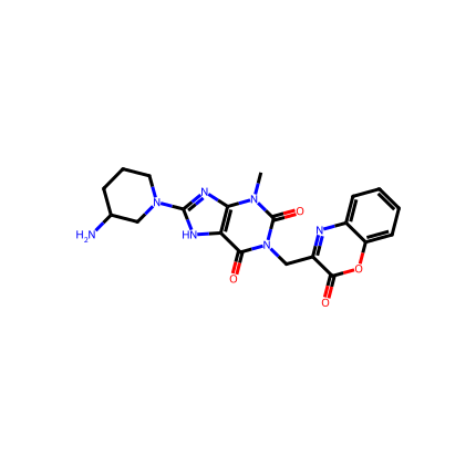 Cn1c(=O)n(Cc2nc3ccccc3oc2=O)c(=O)c2[nH]c(N3CCCC(N)C3)nc21